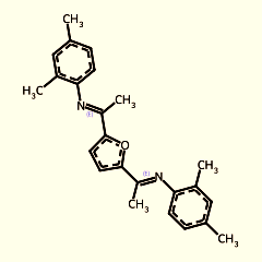 C/C(=N\c1ccc(C)cc1C)c1ccc(/C(C)=N/c2ccc(C)cc2C)o1